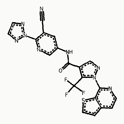 N#Cc1cc(NC(=O)c2cnn(-c3nccc4ccsc34)c2C(F)(F)F)cnc1-n1nccn1